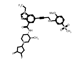 COc1ccc(S(C)(=O)=O)cc1NCC#Cc1cc(C(=O)N[C@H]2CCN(C3CC(F)C(F)C3)C[C@@H]2C)c2ncn(CC(F)(F)F)c2c1